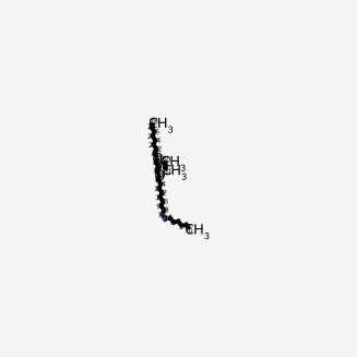 CCCCCC/C=C\CCCCCCCCOCC(COCCCCCCCC)N(C)C